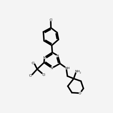 NC1(CNc2nc(-c3ccc(Cl)cc3)nc(C(Cl)(Cl)Cl)n2)CCOCC1